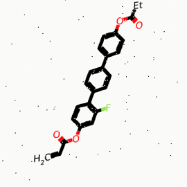 C=CC(=O)Oc1ccc(-c2ccc(-c3ccc(OC(=O)CC)cc3)cc2)c(F)c1